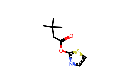 CC(C)(C)CC(=O)Oc1nccs1